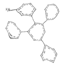 Nc1cccc(-c2c(-c3ccccc3)cc(-c3ccccc3)cc2-c2ccccc2)c1